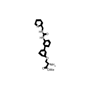 COC(=O)[C@@H](N)COc1cccc(-c2cccc(NC(=O)NCc3ccccn3)c2)c1